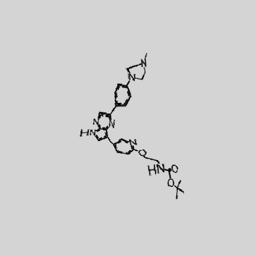 CN1CCN(c2ccc(-c3cnc4[nH]cc(-c5ccc(OCCNC(=O)OC(C)(C)C)nc5)c4n3)cc2)CC1